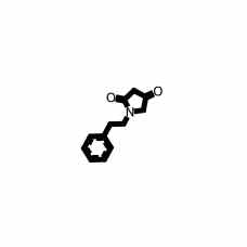 O=C1CC(=O)N(CCc2ccccc2)C1